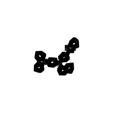 c1ccc2c(N(c3ccc(-c4cn5ccccc5n4)cc3)c3ccc(-n4c5ccccc5c5ccccc54)cc3)cccc2c1